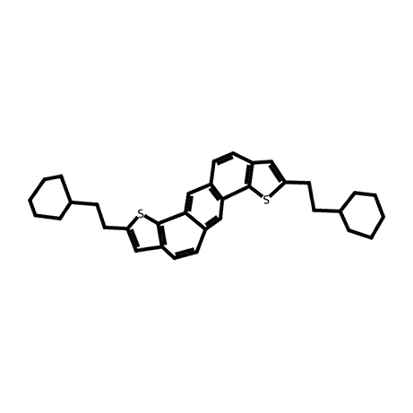 c1cc2cc(CCC3CCCCC3)sc2c2cc3ccc4cc(CCC5CCCCC5)sc4c3cc12